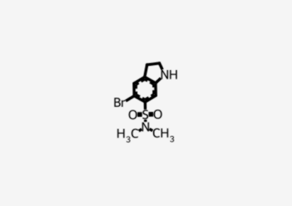 CN(C)S(=O)(=O)c1cc2c(cc1Br)CCN2